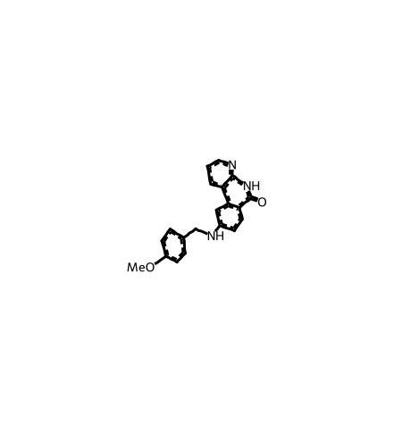 COc1ccc(CNc2ccc3c(=O)[nH]c4ncccc4c3c2)cc1